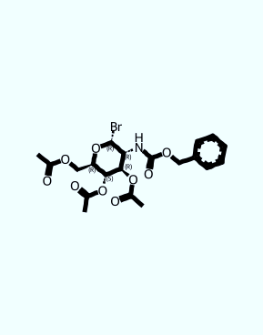 CC(=O)OC[C@H]1O[C@H](Br)[C@H](NC(=O)OCc2ccccc2)[C@@H](OC(C)=O)[C@@H]1OC(C)=O